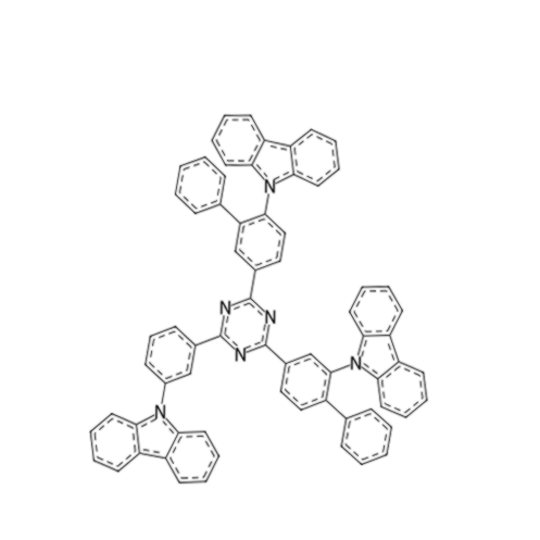 c1ccc(-c2cc(-c3nc(-c4cccc(-n5c6ccccc6c6ccccc65)c4)nc(-c4ccc(-c5ccccc5)c(-n5c6ccccc6c6ccccc65)c4)n3)ccc2-n2c3ccccc3c3ccccc32)cc1